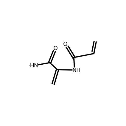 C=CC(=O)NC(=C)C([NH])=O